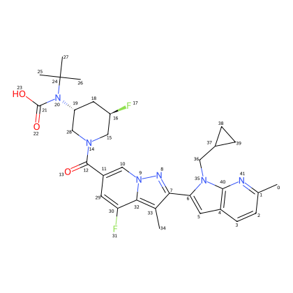 Cc1ccc2cc(-c3nn4cc(C(=O)N5C[C@H](F)C[C@@H](N(C(=O)O)C(C)(C)C)C5)cc(F)c4c3C)n(CC3CC3)c2n1